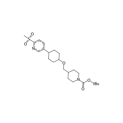 CC(C)(C)OC(=O)N1CCC(COC2CCC(c3ccc(S(C)(=O)=O)nc3)CC2)CC1